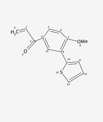 C=CC(=O)c1ccc(OC)c(-c2cccs2)c1